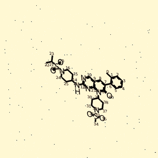 Cc1ccccc1-c1cc2cnc(NC3CCN(S(=O)(=O)C(C)C)CC3)nc2n(C2CCN(S(C)(=O)=O)CC2)c1=O